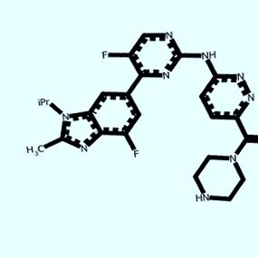 Cc1nc2c(F)cc(-c3nc(Nc4ccc(C(=O)N5CCNCC5)nn4)ncc3F)cc2n1C(C)C